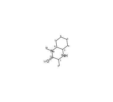 CC1NC2CCCCC2N(C)C1=O